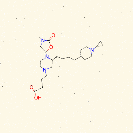 CN1CC(N2CCN(CCCC(=O)O)CC2CCCCC2CCN(C3CC3)CC2)OC1=O